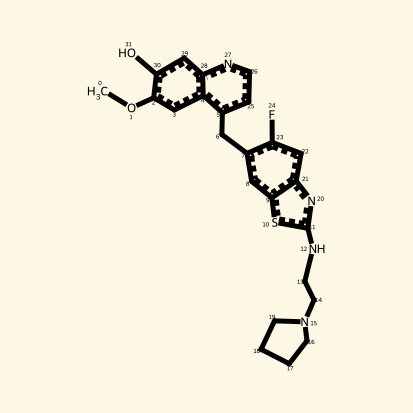 COc1cc2c(Cc3cc4sc(NCCN5CCCC5)nc4cc3F)ccnc2cc1O